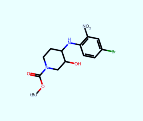 CC(C)(C)OC(=O)N1CCC(Nc2ccc(Br)cc2[N+](=O)[O-])C(O)C1